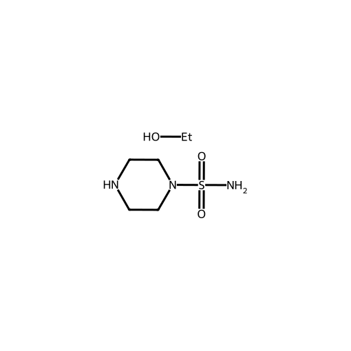 CCO.NS(=O)(=O)N1CCNCC1